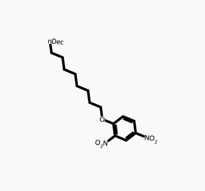 CCCCCCCCCCCCCCCCCCOc1ccc([N+](=O)[O-])cc1[N+](=O)[O-]